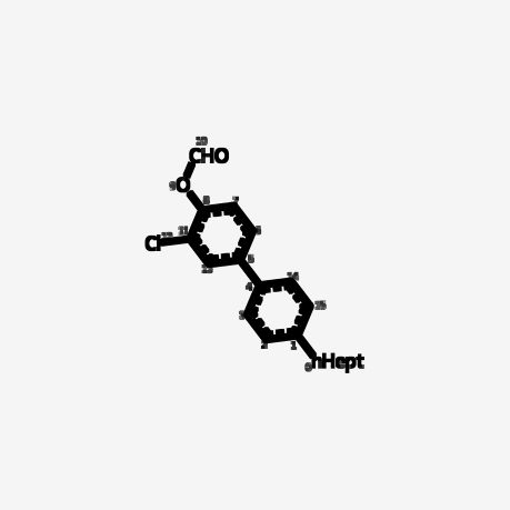 CCCCCCCc1ccc(-c2ccc(OC=O)c(Cl)c2)cc1